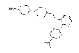 CN(C)c1ccc(-c2ncccc2CCN2CCN(c3ccc([C]=O)cc3)CC2)cc1